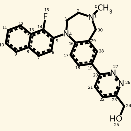 CN1CCN(c2ccc3ccccc3c2F)c2ccc(-c3ccc(CO)nn3)cc2C1